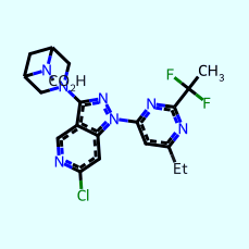 CCc1cc(-n2nc(N3CC4CC(C3)N4C(=O)O)c3cnc(Cl)cc32)nc(C(C)(F)F)n1